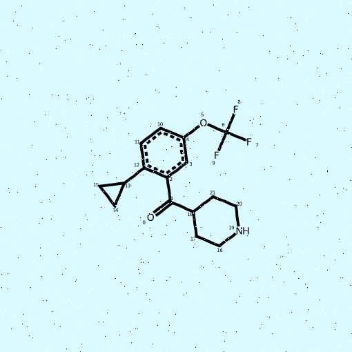 O=C(c1cc(OC(F)(F)F)ccc1C1CC1)C1CCNCC1